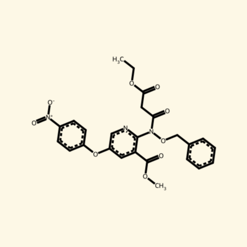 CCOC(=O)CC(=O)N(OCc1ccccc1)c1ncc(Oc2ccc([N+](=O)[O-])cc2)cc1C(=O)OC